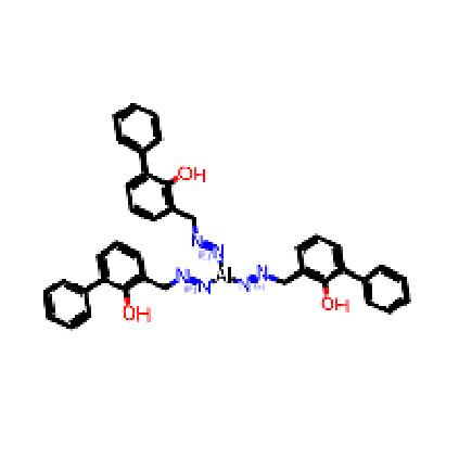 Oc1c(C/N=[N]/[Al](/[N]=N/Cc2cccc(-c3ccccc3)c2O)/[N]=N/Cc2cccc(-c3ccccc3)c2O)cccc1-c1ccccc1